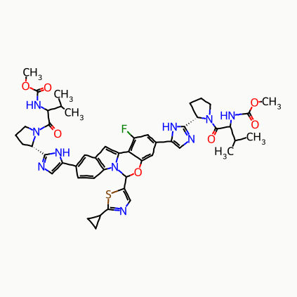 COC(=O)NC(C(=O)N1CCC[C@H]1c1ncc(-c2cc(F)c3c(c2)OC(c2cnc(C4CC4)s2)n2c-3cc3cc(-c4cnc([C@@H]5CCCN5C(=O)C(NC(=O)OC)C(C)C)[nH]4)ccc32)[nH]1)C(C)C